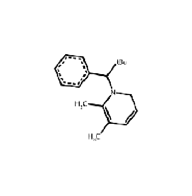 CC1=C(C)N(C(c2ccccc2)C(C)(C)C)CC=C1